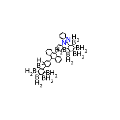 Bc1c(B)c(B)c(-c2ccc(-c3c4ccccc4c(-c4ccc(-n5c(-c6c(B)c(B)c(B)c(B)c6B)nc6ccccc65)cc4)c4ccccc34)cc2)c(B)c1B